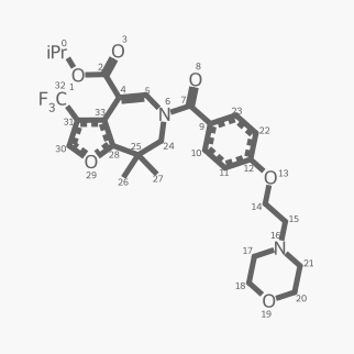 CC(C)OC(=O)C1=CN(C(=O)c2ccc(OCCN3CCOCC3)cc2)CC(C)(C)c2occ(C(F)(F)F)c21